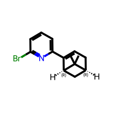 CC1(C)[C@H]2CC=C(c3cccc(Br)n3)[C@@H]1C2